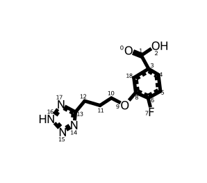 O=C(O)c1ccc(F)c(OCCCc2nn[nH]n2)c1